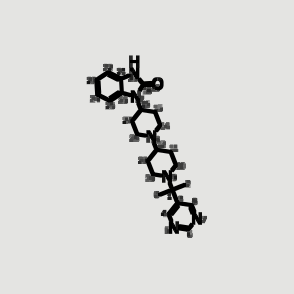 CC(C)(c1cncnc1)N1CCC(N2CCC(n3c(=O)[nH]c4ccccc43)CC2)CC1